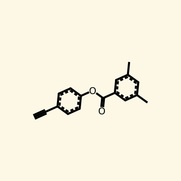 C#Cc1ccc(OC(=O)c2cc(C)cc(C)c2)cc1